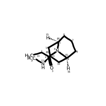 CCC(=O)N1[C@@H]2CCC[C@H]1C[C@@H](NC)C2